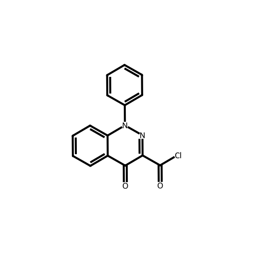 O=C(Cl)c1nn(-c2ccccc2)c2ccccc2c1=O